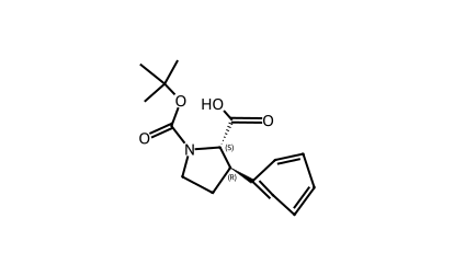 CC(C)(C)OC(=O)N1CC[C@H](c2ccccc2)[C@H]1C(=O)O